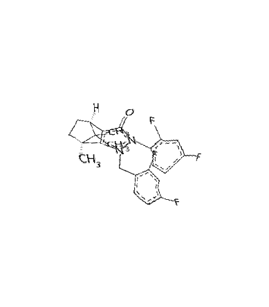 CC1(C)[C@H]2CC[C@]1(C)c1c2c(=O)n(-c2ccc(F)cc2F)n1Cc1ccc(F)cc1F